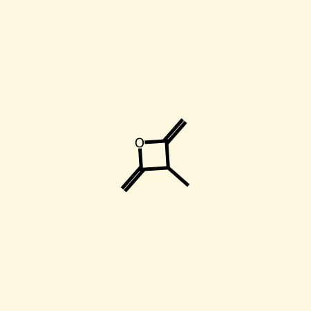 C=C1OC(=C)C1C